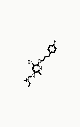 CCN(C)/C=N/c1cc(Br)c(OCCCc2ccc(F)cc2)nc1C